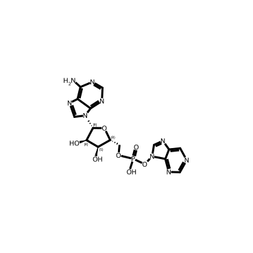 Nc1ncnc2c1ncn2[C@@H]1O[C@H](COP(=O)(O)On2cnc3cncnc32)[C@@H](O)[C@H]1O